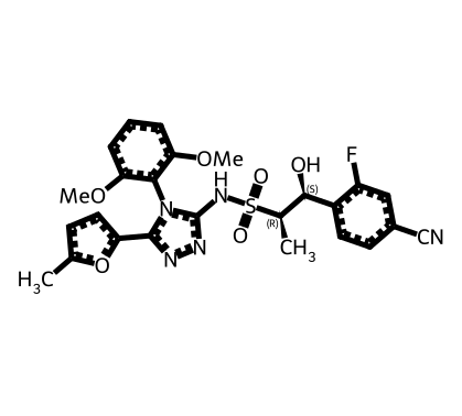 COc1cccc(OC)c1-n1c(NS(=O)(=O)[C@H](C)[C@@H](O)c2ccc(C#N)cc2F)nnc1-c1ccc(C)o1